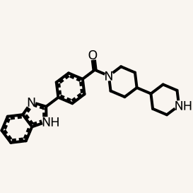 O=C(c1ccc(-c2nc3ccccc3[nH]2)cc1)N1CCC(C2CCNCC2)CC1